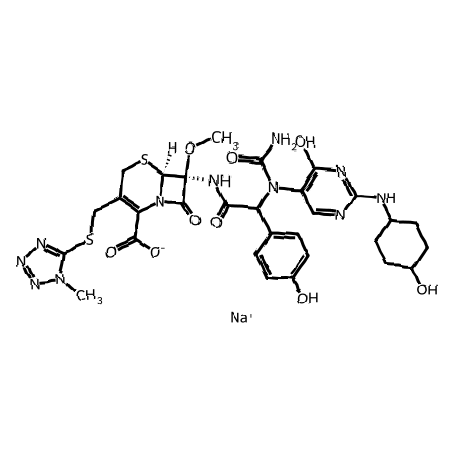 CO[C@@]1(NC(=O)C(c2ccc(O)cc2)N(C(N)=O)c2cnc(NC3CCC(O)CC3)nc2O)C(=O)N2C(C(=O)[O-])=C(CSc3nnnn3C)CS[C@H]21.[Na+]